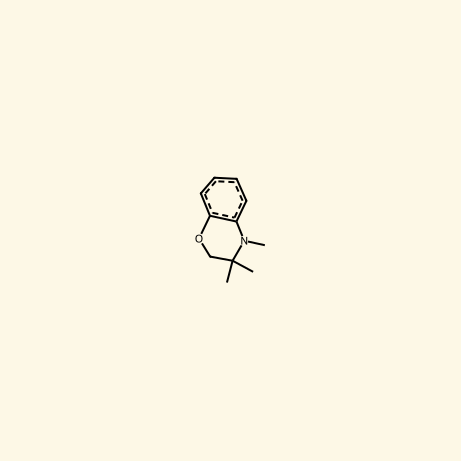 CN1c2ccccc2OCC1(C)C